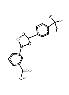 O=C(O)c1cccc(N2OOC(c3ccc(C(F)(F)F)cc3)O2)c1